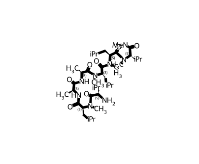 CNC(=O)[C@H](C(C)C)N(C)C(=O)[C@H](CC(C)C)N(C)C(=O)[C@H](CC(C)C)N(C)C(=O)[C@@H](C)NC(=O)[C@H](C)NC(=O)[C@H](CC(C)C)N(C)C(=O)[C@@H](N)C(C)C